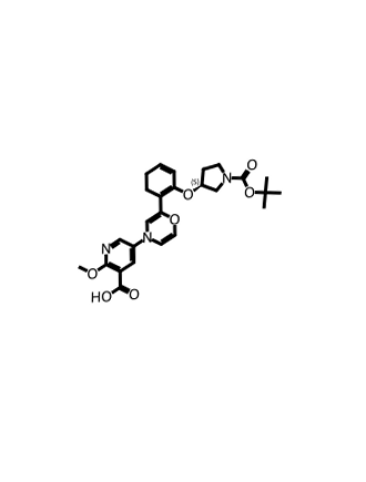 COc1ncc(N2C=COC(C3=C(O[C@H]4CCN(C(=O)OC(C)(C)C)C4)C=CCC3)=C2)cc1C(=O)O